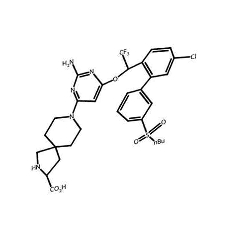 CCCCS(=O)(=O)c1cccc(-c2cc(Cl)ccc2C(Oc2cc(N3CCC4(CC3)CNC(C(=O)O)C4)nc(N)n2)C(F)(F)F)c1